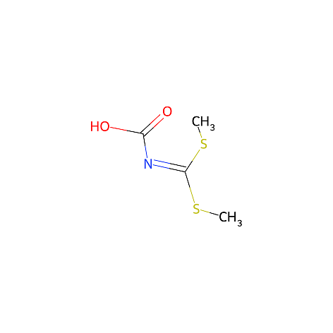 CSC(=NC(=O)O)SC